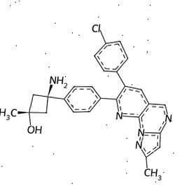 Cc1cc2ncc3cc(-c4ccc(Cl)cc4)c(-c4ccc([C@]5(N)C[C@](C)(O)C5)cc4)nc3n2n1